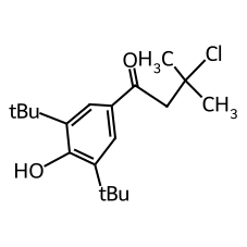 CC(C)(Cl)CC(=O)c1cc(C(C)(C)C)c(O)c(C(C)(C)C)c1